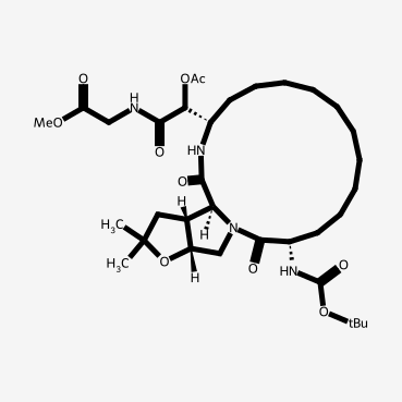 COC(=O)CNC(=O)C(OC(C)=O)[C@@H]1CCCCCCCCCC[C@H](NC(=O)OC(C)(C)C)C(=O)N2C[C@@H]3OC(C)(C)C[C@@H]3[C@H]2C(=O)N1